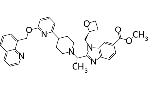 COC(=O)c1ccc2nc([C@H](C)N3CCC(c4cccc(OCc5cccc6cccnc56)n4)CC3)n(C[C@@H]3CCO3)c2c1